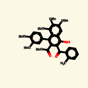 COC(=O)c1c(C(=O)c2ccccc2C)c(O)c2cc(OC)c(OC)c(OC)c2c1-c1ccc(OC)c(OC)c1